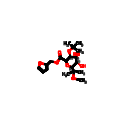 COC(C)(C)[C@@H]1OC(C(=O)OCc2ccco2)[C@@H](OC(C)(C)C)[C@H](O)[C@@H]1O